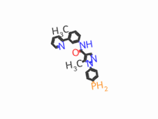 Cc1ccc(NC(=O)c2cnn(-c3ccc(P)cc3)c2C)cc1-c1ccccn1